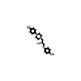 Oc1ccc(OC[C@H](O)CN2CCN(c3ccc(Br)cc3)CC2)cc1